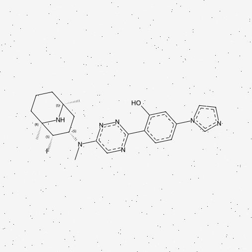 CN(c1cnc(-c2ccc(-n3ccnc3)cc2O)nn1)[C@H]1C[C@]2(C)CCC[C@@](C)(N2)[C@H]1F